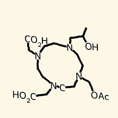 CC(=O)OCN1CCN(CC(=O)O)CCN(CC(=O)O)CCN(CC(C)O)CC1